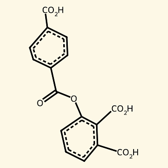 O=C(O)c1ccc(C(=O)Oc2cccc(C(=O)O)c2C(=O)O)cc1